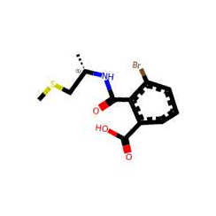 CSC[C@H](C)NC(=O)c1c(Br)cccc1C(=O)O